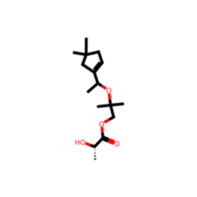 CC(OC(C)(C)COC(=O)[C@H](C)O)C1=CCC(C)(C)C1